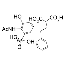 CC(=O)Nc1c(O)cccc1[As](=O)(O)O.O=C(O)C(CCc1ccccc1)C(=O)O